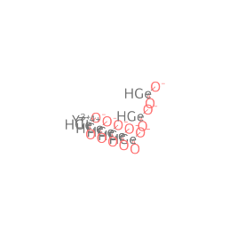 [O]=[GeH][O-].[O]=[GeH][O-].[O]=[GeH][O-].[O]=[GeH][O-].[O]=[GeH][O-].[O]=[GeH][O-].[O]=[GeH][O-].[Ti+4].[Y+3]